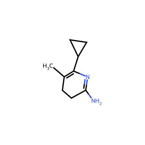 CC1=C(C2CC2)N=C(N)CC1